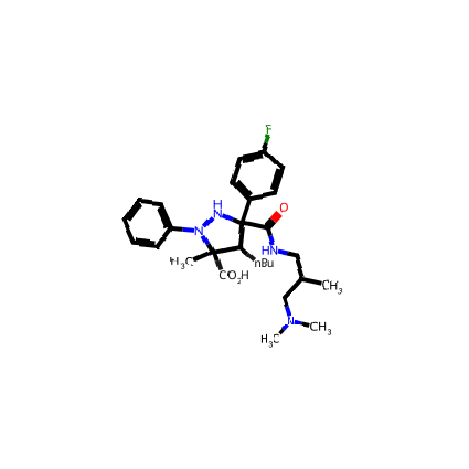 CCCCC1C(C(=O)NCC(C)CN(C)C)(c2ccc(F)cc2)NN(c2ccccc2)C1(C)C(=O)O